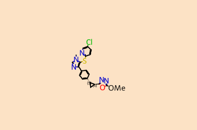 COc1nnc([C@H]2C[C@@H]2c2ccc(-c3ncn(C)c3Sc3ccc(Cl)cn3)cc2)o1